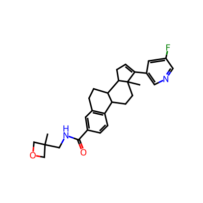 CC1(CNC(=O)c2ccc3c(c2)CCC2C3CCC3(C)C(c4cncc(F)c4)=CCC23)COC1